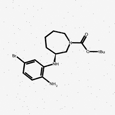 CC(C)(C)OC(=O)N1CCCC[C@H](Nc2cc(Br)ccc2N)C1